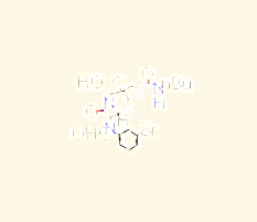 CCCCNC(=O)SCC1(C(=O)O)CS[C@@H]2C(N(C=O)c3cccc(Br)c3)C(=O)N2C1